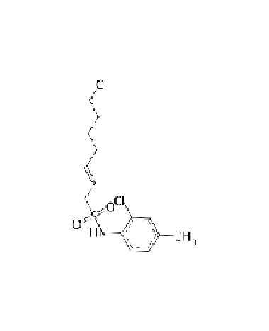 Cc1ccc(NS(=O)(=O)CC=CCCCCCl)c(Cl)c1